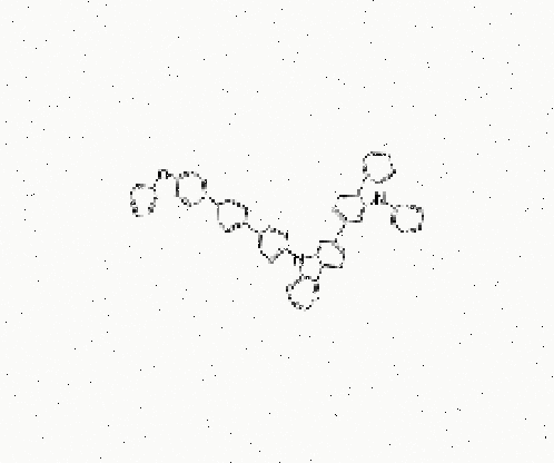 c1ccc(-n2c3ccccc3c3ccc(-c4ccc5c6ccccc6n(-c6ccc(-c7ccc(-c8ccc9oc%10ccccc%10c9c8)cc7)cc6)c5c4)cc32)cc1